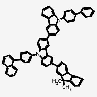 CC1(C)c2ccccc2-c2ccc(-c3ccc4c(c3)c3cc(-c5ccc6c(c5)c5ccccc5n6-c5ccc(-c6ccccc6)cc5)ccc3n4-c3ccc(-c4cccc5ccccc45)cc3)cc21